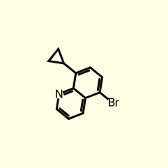 Brc1ccc(C2CC2)c2ncccc12